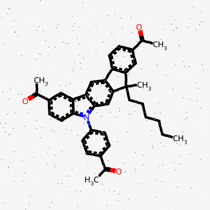 CCCCCCC1(C)c2cc(C(C)=O)ccc2-c2cc3c4cc(C(C)=O)ccc4n(-c4ccc(C(C)=O)cc4)c3cc21